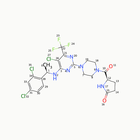 C[C@@H](Nc1nc(N2CCN(C(=O)[C@H]3CCC(=O)N3)CC2)nc(C(F)(F)F)c1Cl)c1ccc(Cl)cc1Cl